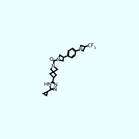 O=C(N1CC(c2ccc(N3CC(C(F)(F)F)C3)cc2)C1)N1CC2(CC(c3nnc(C4CC4)[nH]3)C2)C1